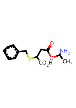 CC(N)OC(=O)CC(SCc1ccccc1)C(=O)O